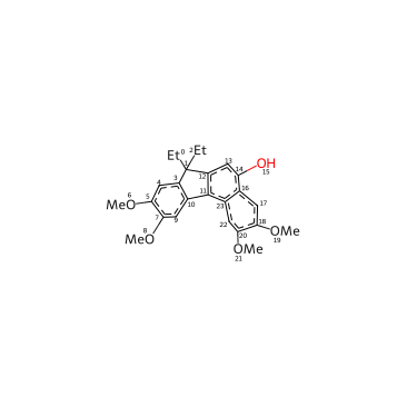 CCC1(CC)c2cc(OC)c(OC)cc2-c2c1cc(O)c1cc(OC)c(OC)cc21